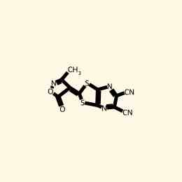 CC1=NOC(=O)C1=C1Sc2nc(C#N)c(C#N)nc2S1